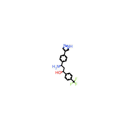 NC(CC(O)c1ccc(C(F)(F)F)cc1)c1ccc(-c2cn[nH]c2)cc1